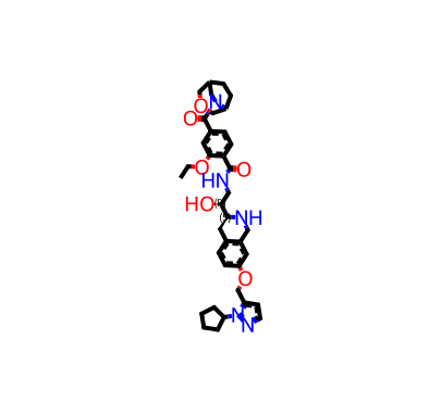 CCOc1cc(C(=O)N2CC3CCC2COC3)ccc1C(=O)NC[C@@H](O)[C@@H]1Cc2ccc(OCc3ccnn3C3CCCC3)cc2CN1